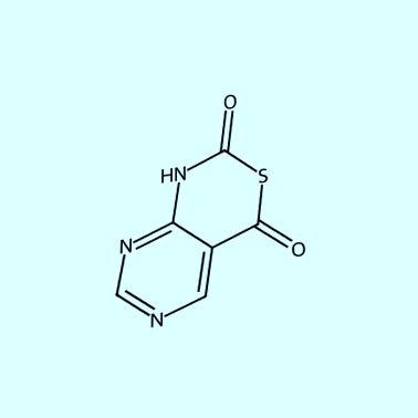 O=c1[nH]c2ncncc2c(=O)s1